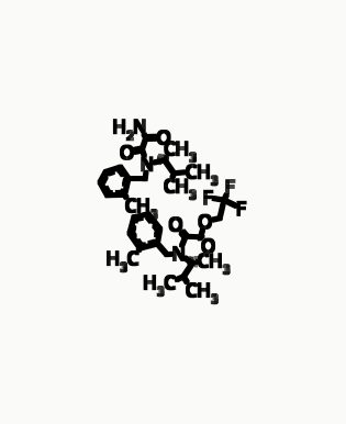 Cc1ccccc1CN(C(=O)C(=O)OCC(F)(F)F)[C@@H](C)C(C)C.Cc1ccccc1CN(C(=O)C(N)=O)[C@@H](C)C(C)C